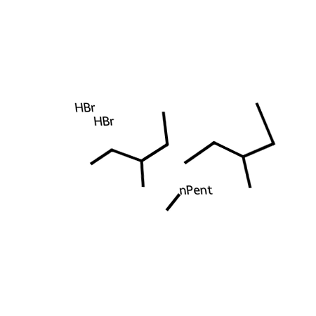 Br.Br.CCC(C)CC.CCC(C)CC.CCCCCC